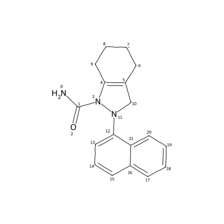 NC(=O)N1C2=C(C[CH]CC2)CN1c1cccc2ccccc12